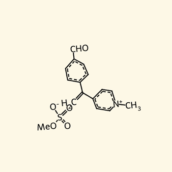 C=C(c1ccc(C=O)cc1)c1cc[n+](C)cc1.COS(=O)(=O)[O-]